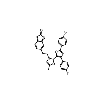 CC1=CN(CCc2ccc3c(c2)=NC(=O)C=3)C(c2oc(-c3ccc(Br)cc3)nc2-c2ccc(F)cc2)O1